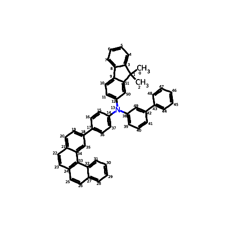 CC1(C)c2ccccc2-c2ccc(N(c3ccc(-c4ccc5ccc6ccc7ccccc7c6c5c4)cc3)c3cccc(-c4ccccc4)c3)cc21